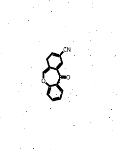 N#CC1=CCC2=COc3ccccc3C(=O)C2=C1